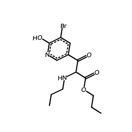 CCCNC(C(=O)OCCC)C(=O)c1cnc(O)c(Br)c1